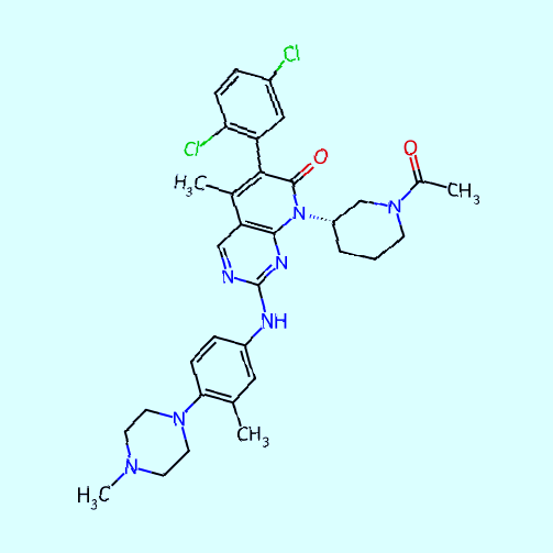 CC(=O)N1CCC[C@H](n2c(=O)c(-c3cc(Cl)ccc3Cl)c(C)c3cnc(Nc4ccc(N5CCN(C)CC5)c(C)c4)nc32)C1